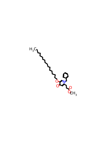 CCCCCCCCCCCCCCCCCCOc1cn(Cc2ccccc2)c(CCC(=O)OC)cc1=O